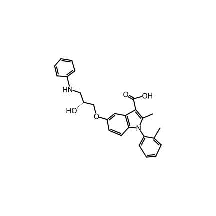 Cc1ccccc1-n1c(C)c(C(=O)O)c2cc(OC[C@H](O)CNc3ccccc3)ccc21